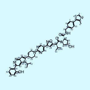 Cc1ncsc1-c1ccc(CNC(=O)[C@@H]2C[C@@H](O)CN2C(=O)[C@H](c2cc(-c3cnc(N4CCC(c5cc6nnc(-c7ccccc7O)cc6n5C(C)C)CC4)nc3)no2)C(C)C)cc1